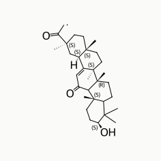 [CH2]C(=O)[C@@]1(C)CC[C@]2(C)CC[C@]3(C)C(=CC(=O)C4[C@@]5(C)CC[C@H](O)C(C)(C)C5CC[C@]43C)[C@H]2C1